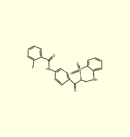 Cc1ccccc1C(=O)Nc1ccc(C(=O)C2CNc3ccccc3S2(=O)=O)cc1